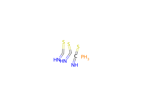 N=C=S.N=C=S.N=C=S.P